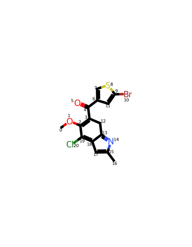 COC1=C(C(=O)c2csc(Br)c2)CC2=NC(C)=[C]C2=C1Cl